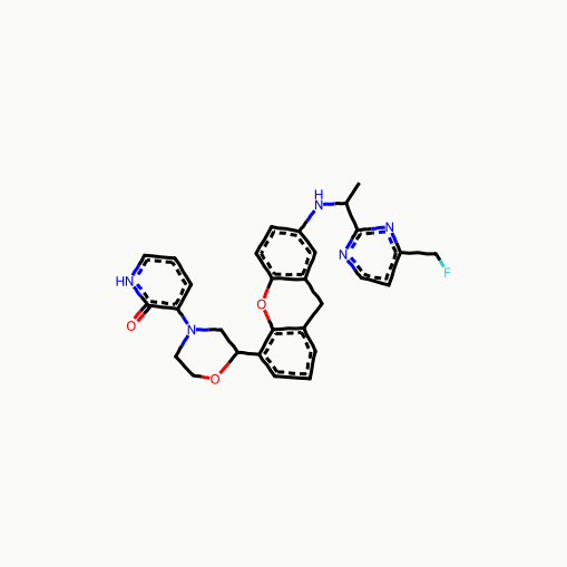 CC(Nc1ccc2c(c1)Cc1cccc(C3CN(c4ccc[nH]c4=O)CCO3)c1O2)c1nccc(CF)n1